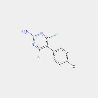 Nc1nc(Cl)c(-c2ccc(Cl)cc2)c(Cl)n1